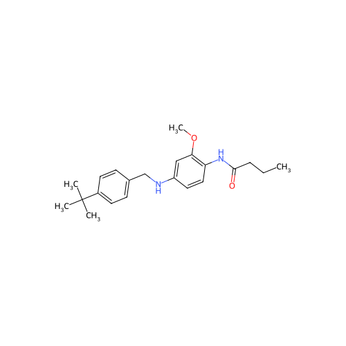 CCCC(=O)Nc1ccc(NCc2ccc(C(C)(C)C)cc2)cc1OC